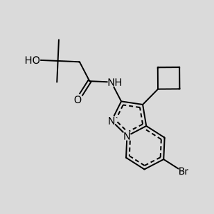 CC(C)(O)CC(=O)Nc1nn2ccc(Br)cc2c1C1CCC1